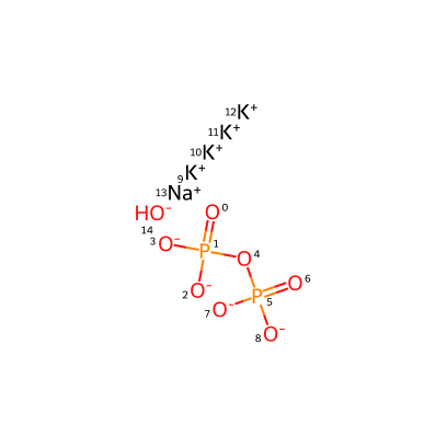 O=P([O-])([O-])OP(=O)([O-])[O-].[K+].[K+].[K+].[K+].[Na+].[OH-]